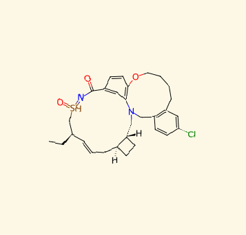 CC[C@@H]1/C=C/C[C@@H]2CC[C@H]2CN2Cc3ccc(Cl)cc3CCCCOc3ccc(cc32)C(=O)/N=[SH](=O)\C1